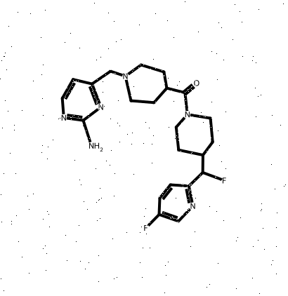 Nc1nccc(CN2CCC(C(=O)N3CCC(C(F)c4ccc(F)cn4)CC3)CC2)n1